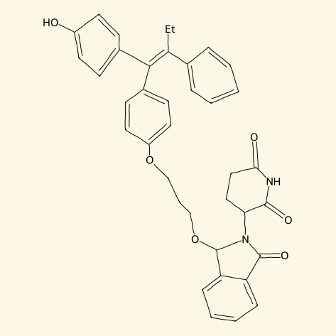 CCC(=C(c1ccc(O)cc1)c1ccc(OCCCOC2c3ccccc3C(=O)N2C2CCC(=O)NC2=O)cc1)c1ccccc1